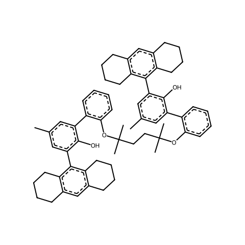 Cc1cc(-c2ccccc2OC(C)(C)CCC(C)(C)Oc2ccccc2-c2cc(C)cc(-c3c4c(cc5c3CCCC5)CCCC4)c2O)c(O)c(-c2c3c(cc4c2CCCC4)CCCC3)c1